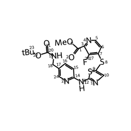 COC(=O)c1nccc(Sc2cnc(Nc3ccc(CNC(=O)OC(C)(C)C)cn3)s2)c1F